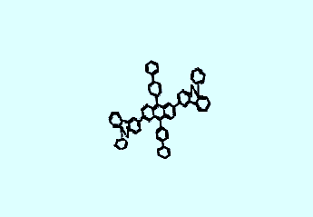 c1ccc(-c2ccc(-c3c4ccc(-c5ccc6c(c5)c5ccccc5n6-c5ccccc5)cc4c(-c4ccc(-c5ccccc5)cc4)c4ccc(-c5ccc6c(c5)c5ccccc5n6-c5ccccc5)cc34)cc2)cc1